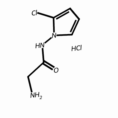 Cl.NCC(=O)Nn1cccc1Cl